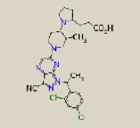 CC1CN(c2cnc3c(C#N)nn(C(C)c4ccc(Cl)cc4Cl)c3n2)CCC1N1CCCC1CCC(=O)O